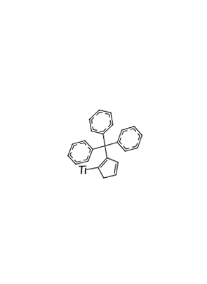 [Ti][C]1=C(C(c2ccccc2)(c2ccccc2)c2ccccc2)C=CC1